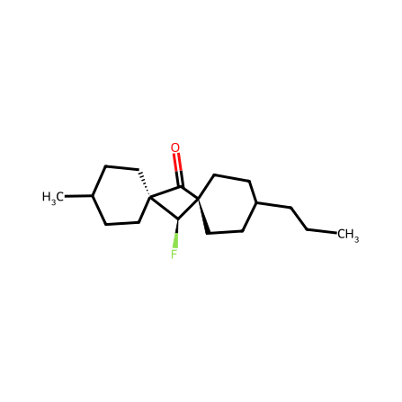 CCCC1CC[C@]2(CC1)C(=O)[C@@]1(CCC(C)CC1)[C@@H]2F